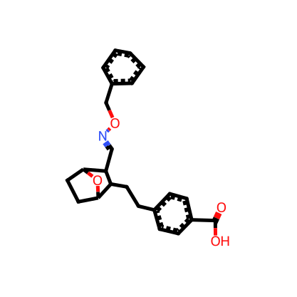 O=C(O)c1ccc(CCC2C3CCC(O3)C2C=NOCc2ccccc2)cc1